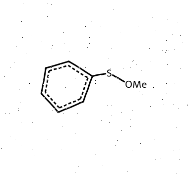 COSc1ccccc1